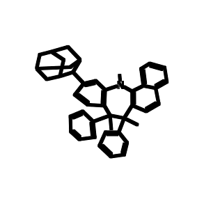 CN1c2cc(C3C4CC5CC(C4)CC3C5)ccc2C(C)(c2ccccc2)C(C)(c2ccccc2)c2ccc3ccccc3c21